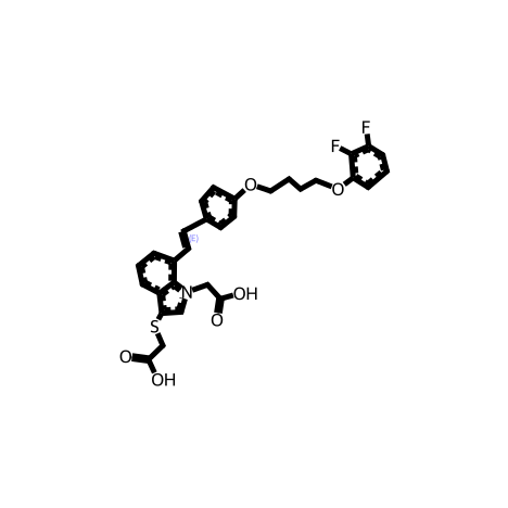 O=C(O)CSc1cn(CC(=O)O)c2c(/C=C/c3ccc(OCCCCOc4cccc(F)c4F)cc3)cccc12